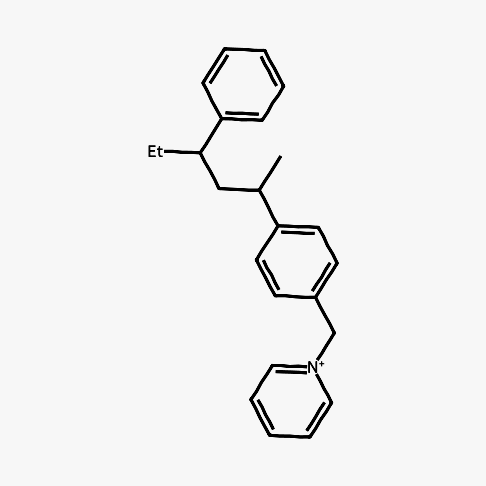 CCC(CC(C)c1ccc(C[n+]2ccccc2)cc1)c1ccccc1